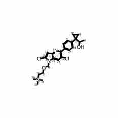 CC(O)C1(c2ccc(-c3nc4cc(Cl)n(COCC[Si](C)(C)C)c4cc3Cl)cc2)CC1